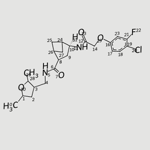 CC1CC(CNC(=O)C2C[C@H](NC(=O)COc3ccc(Cl)c(F)c3)C3CC2C3)C(C)O1